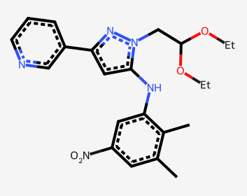 CCOC(Cn1nc(-c2cccnc2)cc1Nc1cc([N+](=O)[O-])cc(C)c1C)OCC